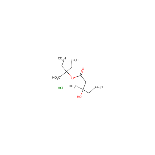 Cl.O=C(O)CC(O)(CC(=O)OC(CC(=O)O)(CC(=O)O)C(=O)O)C(=O)O